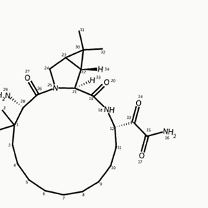 CC1(C)CCCCCCCCC[C@@H](C(=O)C(N)=O)NC(=O)[C@@H]2[C@@H]3C(CN2C(=O)[C@H]1N)C3(C)C